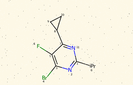 CC(C)c1nc(Br)c(F)c(C2CC2)n1